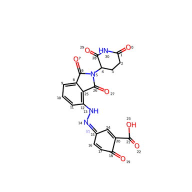 O=C1CCC(N2C(=O)c3cccc(N/N=C4/C=CC(=O)C(C(=O)O)=C4)c3C2=O)C(=O)N1